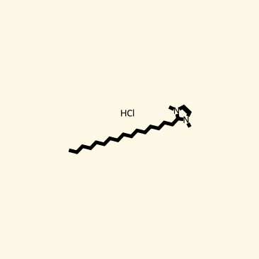 CCCCCCCCCCCCCCCCC1N(C)C=CN1C.Cl